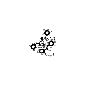 O=C(NCCC(O)(Cc1ccccc1)C(=O)O)c1ccccc1.O=C(O)C1C2C=CC(C2)C1C(=O)Nc1ccc(Cl)c([N+](=O)[O-])c1